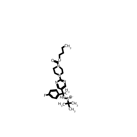 CCCCOC(=O)N1CCN(c2ncc([C@@](C)(N[S@@+]([O-])C(C)(C)C)c3ccc(F)cc3)cn2)CC1